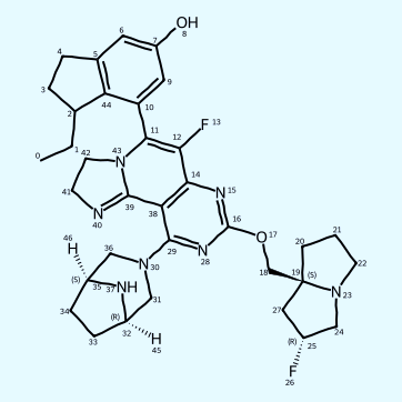 CCC1CCc2cc(O)cc(C3=C(F)c4nc(OC[C@@]56CCCN5C[C@H](F)C6)nc(N5C[C@H]6CC[C@@H](C5)N6)c4C4=NCCN43)c21